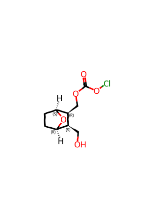 O=C(OCl)OC[C@H]1[C@@H](CO)[C@H]2CC[C@@H]1O2